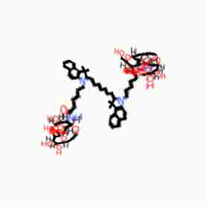 CC1(C)C(/C=C/C=C/C=C/C=C2/N(CCCCCC(=O)N[C@H]3[C@H](O)[C@H]4CCCO[C@H]5[C@H](O)[C@@H](O)C(O[C@@H]3[C@@H](CO)O4)O[C@@H]5CO)c3ccc4ccccc4c3C2(C)C)=[N+](CCCCCC(=O)N[C@H]2[C@H](O)[C@H]3OC4[C@@H](CO)O[C@H](CCCO[C@@H]2[C@@H](CO)O3)[C@H](O)[C@H]4O)c2ccc3ccccc3c21